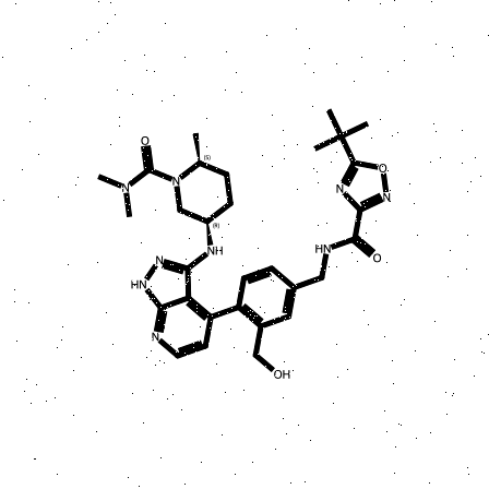 C[C@H]1CC[C@@H](Nc2n[nH]c3nccc(-c4ccc(CNC(=O)c5noc(C(C)(C)C)n5)cc4CO)c23)CN1C(=O)N(C)C